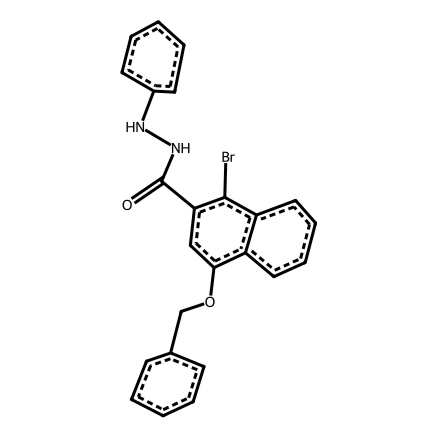 O=C(NNc1ccccc1)c1cc(OCc2ccccc2)c2ccccc2c1Br